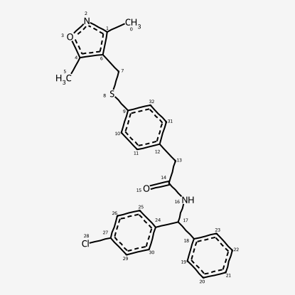 Cc1noc(C)c1CSc1ccc(CC(=O)NC(c2ccccc2)c2ccc(Cl)cc2)cc1